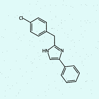 Clc1ccc(Cc2nc(-c3ccccc3)c[nH]2)cc1